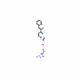 CCn1nnc(CCNC(=O)Nc2cn3cc(-c4cnc5ccccc5c4)ccc3n2)n1